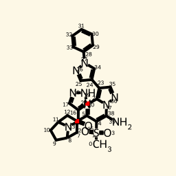 CS(=O)(=O)c1c(C2CC3CCC(C2)N3C(=O)c2cn[nH]n2)nc2c(-c3cnn(-c4ccccc4)c3)cnn2c1N